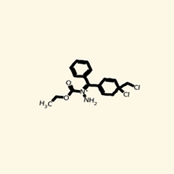 CCOC(=O)[N+](N)=C(C1=CCC(Cl)(CCl)C=C1)c1ccccc1